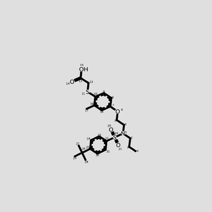 CCCN(CCOc1ccc(SCC(=O)O)c(C)c1)S(=O)(=O)c1ccc(C(C)(C)C)cc1